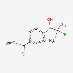 COC(=O)c1ccc(C(O)C(C)(C)F)cc1